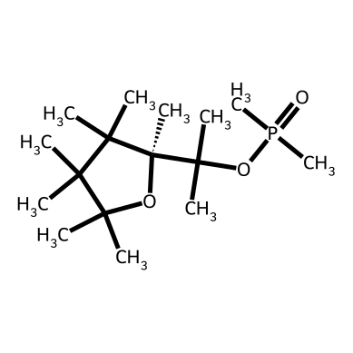 CC1(C)O[C@](C)(C(C)(C)OP(C)(C)=O)C(C)(C)C1(C)C